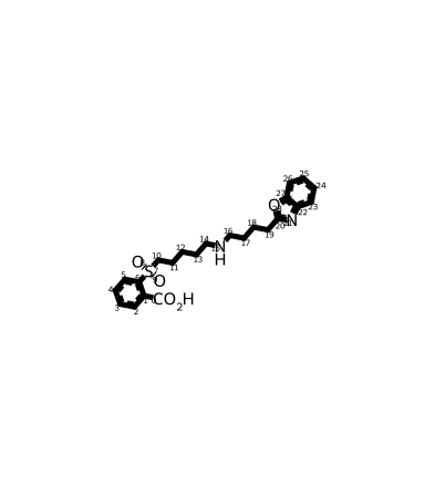 O=C(O)c1ccccc1S(=O)(=O)CCCCCNCCCCc1nc2ccccc2o1